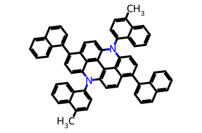 Cc1ccc(-n2c3ccc4c(-c5cccc6ccccc56)ccc5c4c3-c3c4c(ccc3n5-c3ccc(C)c5ccccc35)c(-c3cccc5ccccc35)ccc42)c2ccccc12